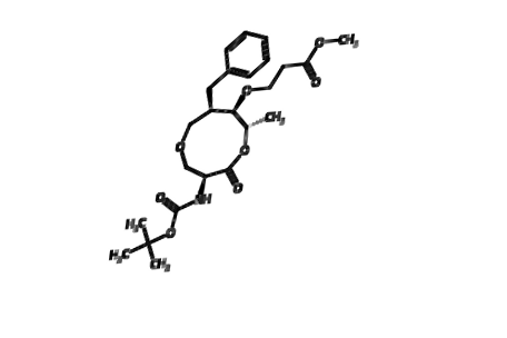 COC(=O)CCO[C@@H]1[C@H](Cc2ccccc2)COC[C@H](NC(=O)OC(C)(C)C)C(=O)O[C@H]1C